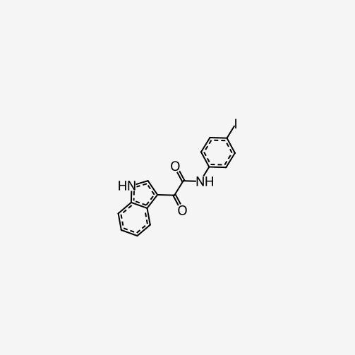 O=C(Nc1ccc(I)cc1)C(=O)c1c[nH]c2ccccc12